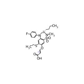 CCCC[C@H]1CN(c2ccc(F)cc2)c2cc(SCC)c(O/C=C/C(=O)O)cc2S(=O)(=O)N1C